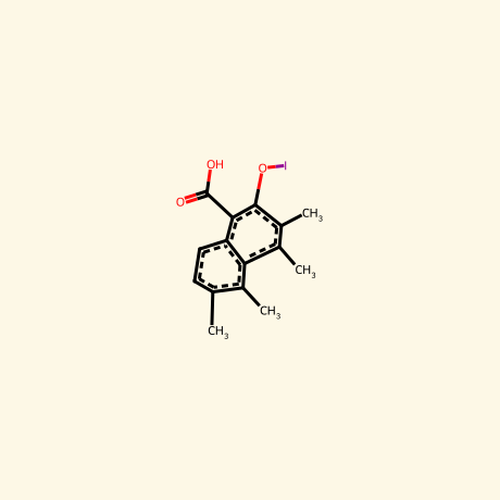 Cc1ccc2c(C(=O)O)c(OI)c(C)c(C)c2c1C